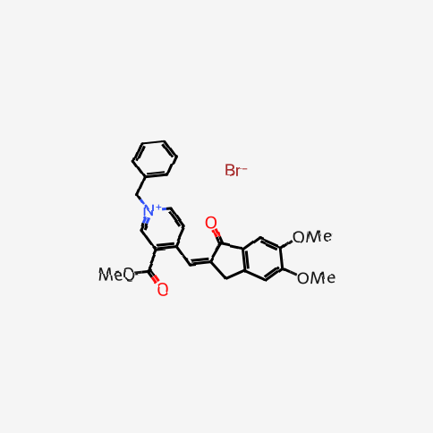 COC(=O)c1c[n+](Cc2ccccc2)ccc1C=C1Cc2cc(OC)c(OC)cc2C1=O.[Br-]